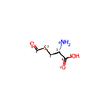 N[C@@H](CSC=O)C(=O)O